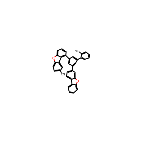 N#Cc1ccc2oc3cccc(-c4cc(-c5ccc6c(c5)oc5ccccc56)cc(-c5ccccc5C#N)c4)c3c2c1